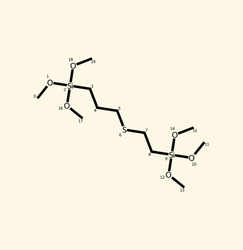 CO[Si](CCCSCC[Si](OC)(OC)OC)(OC)OC